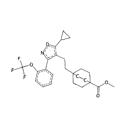 COC(=O)C12CCC(CCc3c(-c4ccccc4OC(F)(F)F)noc3C3CC3)(CC1)CC2